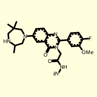 COc1cc(-c2nc3ccc(N4CC(C)NCC(C)(C)C4)cc3c(=O)n2CC(=O)NC(C)C)ccc1F